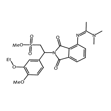 CCOc1cc(C(CS(=O)(=O)OC)N2C(=O)c3cccc(N=C(C)N(C)C)c3C2=O)ccc1OC